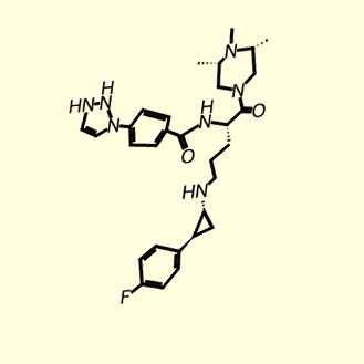 C[C@@H]1CN(C(=O)[C@H](CCCN[C@@H]2C[C@H]2c2ccc(F)cc2)NC(=O)c2ccc(N3C=CNN3)cc2)C[C@H](C)N1C